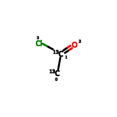 [13CH3][13C](=O)Cl